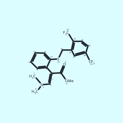 COC(=O)/C(=C/N(C)C)c1ccccc1SCc1cc(C(F)(F)F)ccc1C(F)(F)F